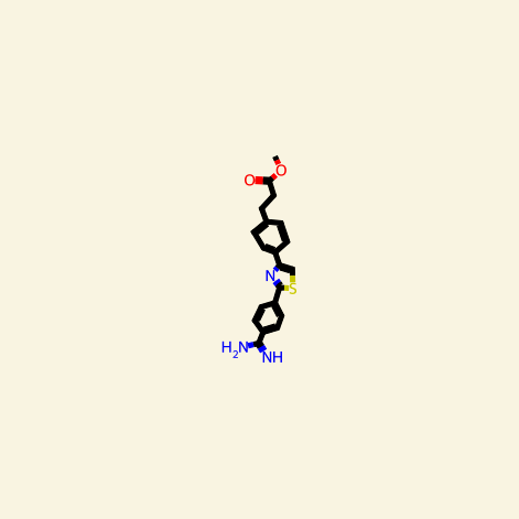 COC(=O)CCc1ccc(-c2csc(-c3ccc(C(=N)N)cc3)n2)cc1